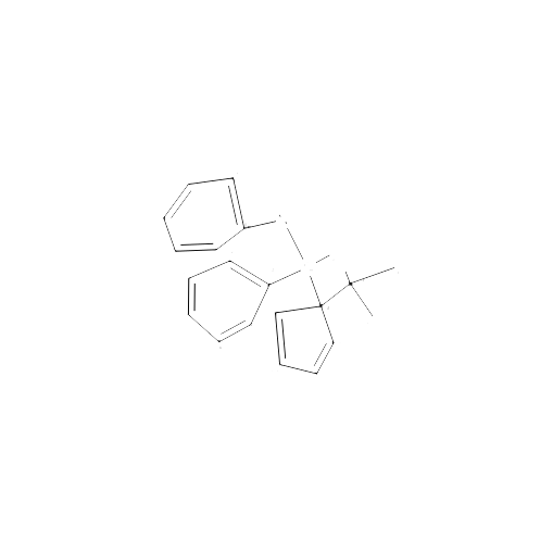 CC(C)(C)C1([Si](C)(Nc2ccccc2)c2ccccc2)C=CC=C1